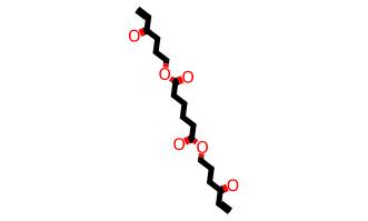 C=CC(=O)CCCOC(=O)CCCCC(=O)OCCCC(=O)C=C